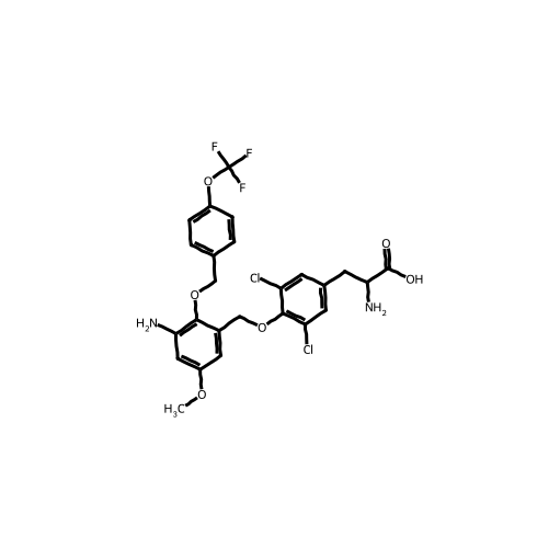 COc1cc(N)c(OCc2ccc(OC(F)(F)F)cc2)c(COc2c(Cl)cc(CC(N)C(=O)O)cc2Cl)c1